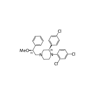 CO[C@H](CN1CCN(c2ccc(Cl)cc2Cl)[C@H](c2ccc(Cl)cc2)C1)c1ccccc1